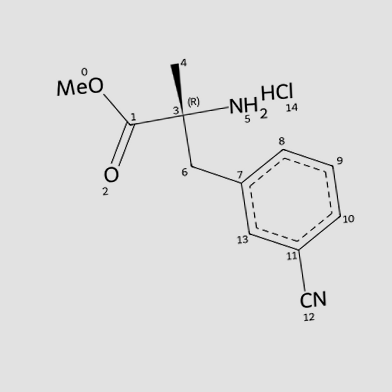 COC(=O)[C@](C)(N)Cc1cccc(C#N)c1.Cl